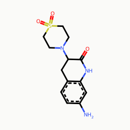 Nc1ccc2c(c1)NC(=O)C(N1CCS(=O)(=O)CC1)C2